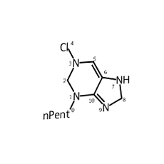 CCCCCN1CN(Cl)C=C2NCN=C21